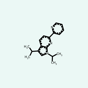 CC(C)c1cn(C(C)C)c2nc(-c3ccccn3)ccc12